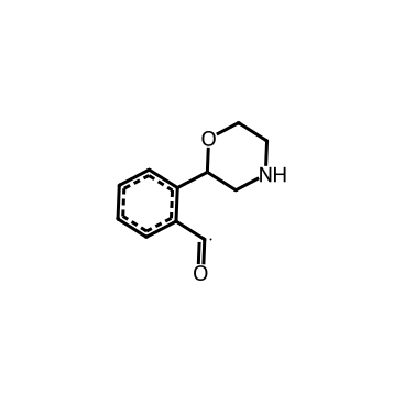 O=[C]c1ccccc1C1CNCCO1